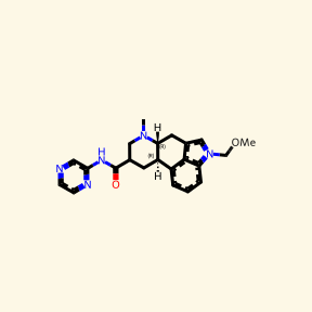 COCn1cc2c3c(cccc31)[C@H]1CC(C(=O)Nc3cnccn3)CN(C)[C@@H]1C2